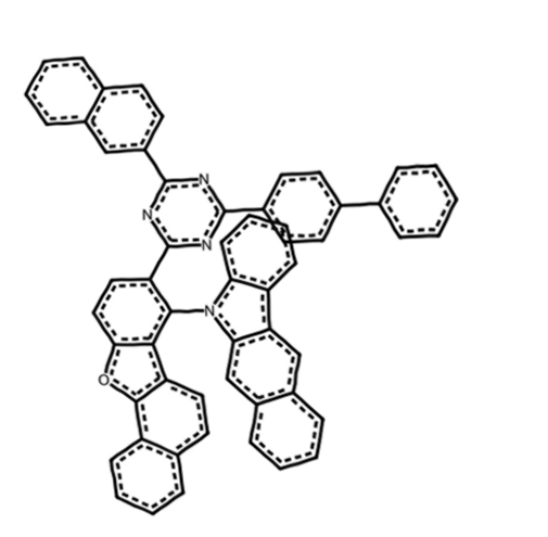 c1ccc(-c2ccc(-c3nc(-c4ccc5ccccc5c4)nc(-c4ccc5oc6c7ccccc7ccc6c5c4-n4c5ccccc5c5cc6ccccc6cc54)n3)cc2)cc1